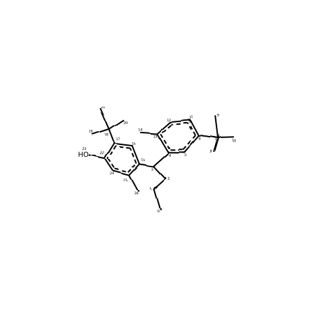 CCCC(c1cc(C(C)(C)C)ccc1C)c1cc(C(C)(C)C)c(O)cc1C